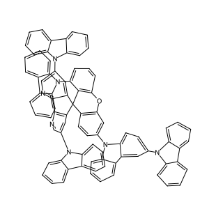 c1cc2c(c(-n3c4ccccc4c4ccccc43)c1)C1(c3ccc(-n4c5ccccc5c5cc(-n6c7ccccc7c7ccccc76)ccc54)cc3O2)c2cc(-n3c4ccccc4c4ccccc43)cnc2-c2ncc(-n3c4ccccc4c4ccccc43)cc21